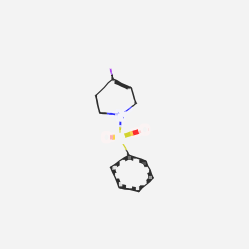 O=S(=O)(c1ccccc1)N1CC=C(I)CC1